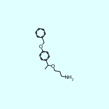 CC(OCCCN)c1ccc(OCc2ccccc2)cc1